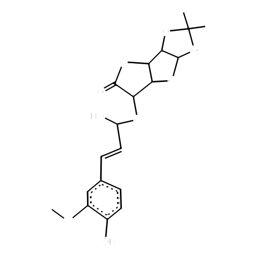 COc1cc(/C=C/C(O)OC2C(=O)OC3C4OC(C)(C)OC4OC23)ccc1O